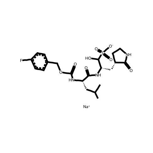 CC(C)C[C@H](NC(=O)OCc1ccc(F)cc1)C(=O)N[C@@H](C[C@@H]1CCNC1=O)C(O)S(=O)(=O)[O-].[Na+]